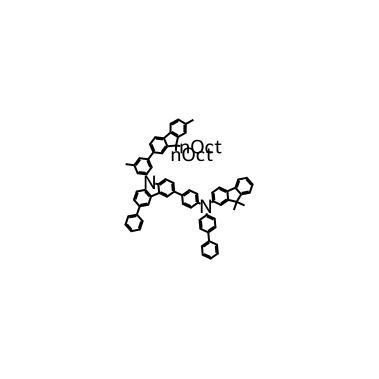 CCCCCCCCC1(CCCCCCCC)c2cc(C)ccc2-c2ccc(-c3cc(C)cc(-n4c5ccc(-c6ccccc6)cc5c5cc(-c6ccc(N(c7ccc(-c8ccccc8)cc7)c7ccc8c(c7)C(C)(C)c7ccccc7-8)cc6)ccc54)c3)cc21